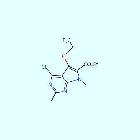 CCOC(=O)c1c(OCC(F)(F)F)c2c(Cl)nc(C)nc2n1C